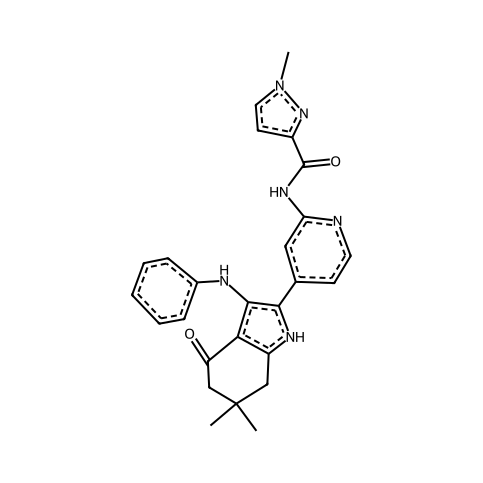 Cn1ccc(C(=O)Nc2cc(-c3[nH]c4c(c3Nc3ccccc3)C(=O)CC(C)(C)C4)ccn2)n1